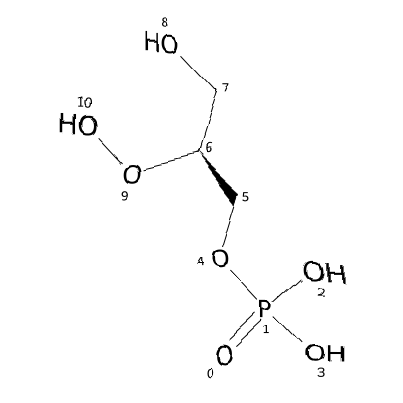 O=P(O)(O)OC[C@H](CO)OO